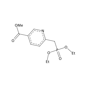 CCOP(=O)(Cc1ccc(C(=O)OC)cn1)OCC